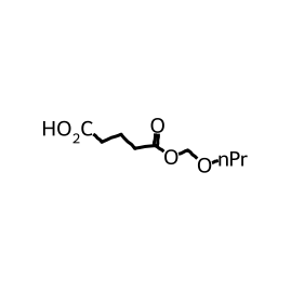 CCCOCOC(=O)CCCC(=O)O